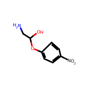 NCC(O)Oc1ccc([N+](=O)[O-])cc1